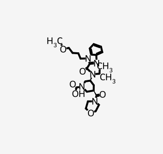 COCCCCn1c(C(=O)N(C(C)C)[C@H]2C[C@@H](C(=O)N3CCOCC3)CN(C(=O)O)C2)nc2ccccc21